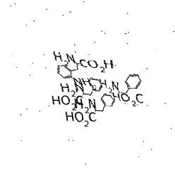 NC(Cc1ccccc1)C(=O)O.NC(Cc1ccccc1)C(=O)O.NC(Cc1ccccc1)C(=O)O.Nc1ccccc1CC(N)C(=O)O